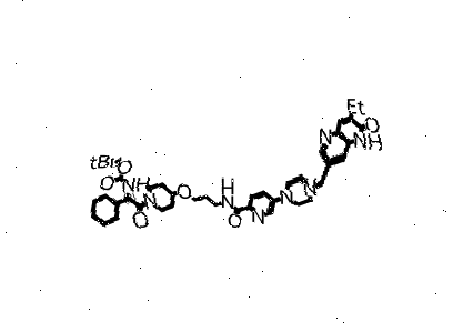 CCc1cc2ncc(CN3CCN(c4ccc(C(=O)NCCCOC5CCN(C(=O)[C@H](NC(=O)OC(C)(C)C)C6CCCCC6)CC5)nc4)CC3)cc2[nH]c1=O